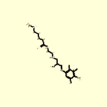 Cc1cc(OCC(O)CNCCNC(=O)CCCCO[N+](=O)[O-])c(C)c(C)c1O